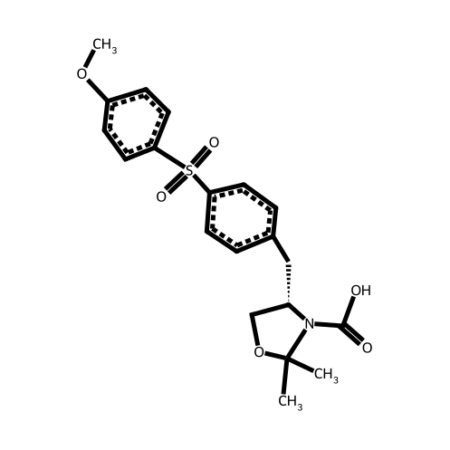 COc1ccc(S(=O)(=O)c2ccc(C[C@H]3COC(C)(C)N3C(=O)O)cc2)cc1